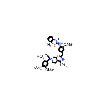 COc1cc(CC(=O)NC(C)C2CCN(C(CC(=O)O)c3ccc(OC)c(OC)c3)CC2)ccc1NC(=O)Nc1ccccc1C